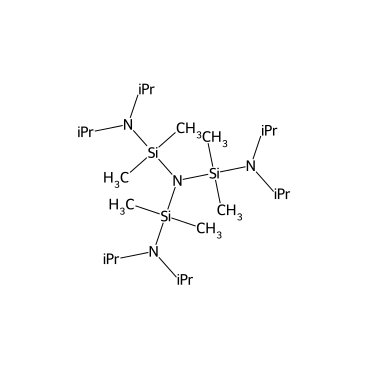 CC(C)N(C(C)C)[Si](C)(C)N([Si](C)(C)N(C(C)C)C(C)C)[Si](C)(C)N(C(C)C)C(C)C